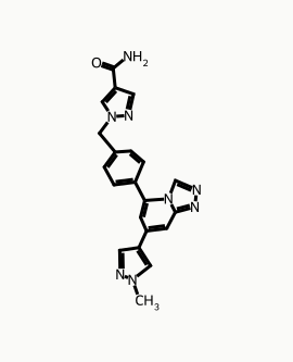 Cn1cc(-c2cc(-c3ccc(Cn4cc(C(N)=O)cn4)cc3)n3cnnc3c2)cn1